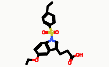 CCOc1ccc2c(c1)c(CCC(=O)O)cn2S(=O)(=O)c1ccc(CC)cc1